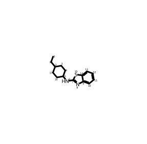 CCC1CCC(Nc2nc3ccccc3s2)CC1